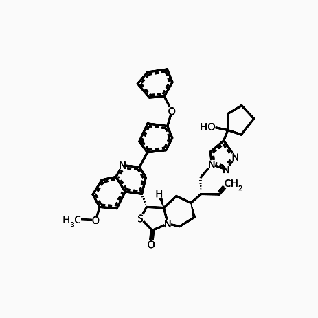 C=C[C@@H](Cn1cc(C2(O)CCCC2)nn1)[C@H]1CCN2C(=O)S[C@H](c3cc(-c4ccc(Oc5ccccc5)cc4)nc4ccc(OC)cc34)[C@@H]2C1